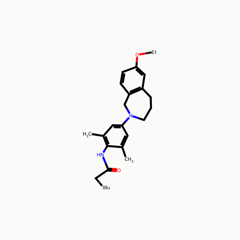 CCOc1ccc2c(c1)CCCN(c1cc(C)c(NC(=O)CC(C)(C)C)c(C)c1)C2